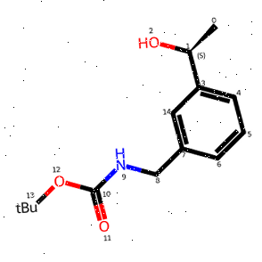 C[C@H](O)c1cccc(CNC(=O)OC(C)(C)C)c1